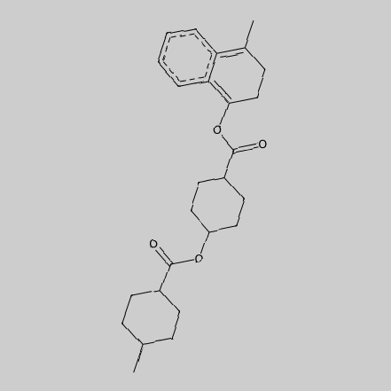 CC1=c2ccccc2=C(OC(=O)C2CCC(OC(=O)C3CCC(C)CC3)CC2)CC1